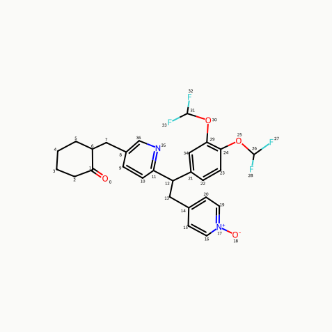 O=C1CCCCC1Cc1ccc(C(Cc2cc[n+]([O-])cc2)c2ccc(OC(F)F)c(OC(F)F)c2)nc1